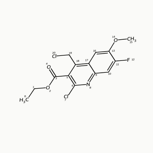 CCOC(=O)c1c(Cl)nc2cc(F)c(OC)cc2c1CCl